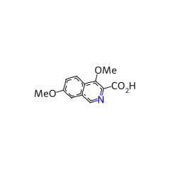 COc1ccc2c(OC)c(C(=O)O)ncc2c1